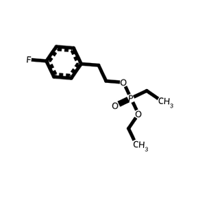 CCOP(=O)(CC)OCCc1ccc(F)cc1